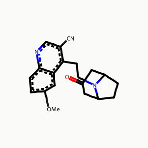 COc1ccc2ncc(C#N)c(CCN3C4CCC3CC(=O)C4)c2c1